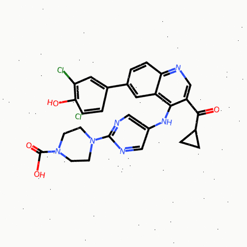 O=C(c1cnc2ccc(-c3cc(Cl)c(O)c(Cl)c3)cc2c1Nc1cnc(N2CCN(C(=O)O)CC2)nc1)C1CC1